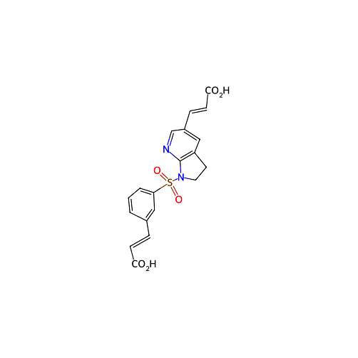 O=C(O)C=Cc1cccc(S(=O)(=O)N2CCc3cc(C=CC(=O)O)cnc32)c1